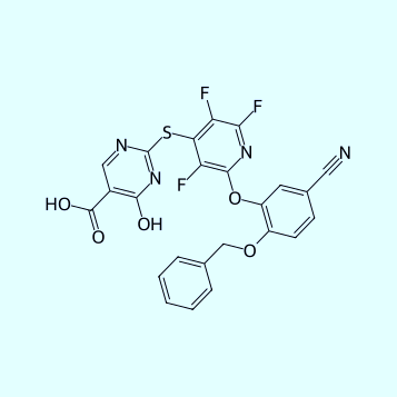 N#Cc1ccc(OCc2ccccc2)c(Oc2nc(F)c(F)c(Sc3ncc(C(=O)O)c(O)n3)c2F)c1